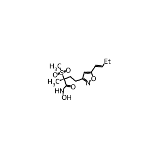 CC/C=C/c1cc(CC[C@](C)(C(=O)NO)S(C)(=O)=O)no1